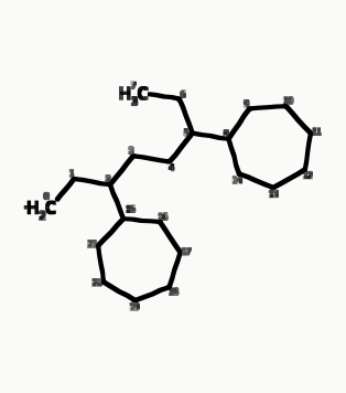 [CH2]CC(CCC(CC)C1CCCCCC1)C1CCCCCC1